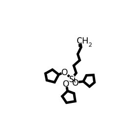 C=CCCCC[Si](OC1CCCC1)(OC1CCCC1)OC1CCCC1